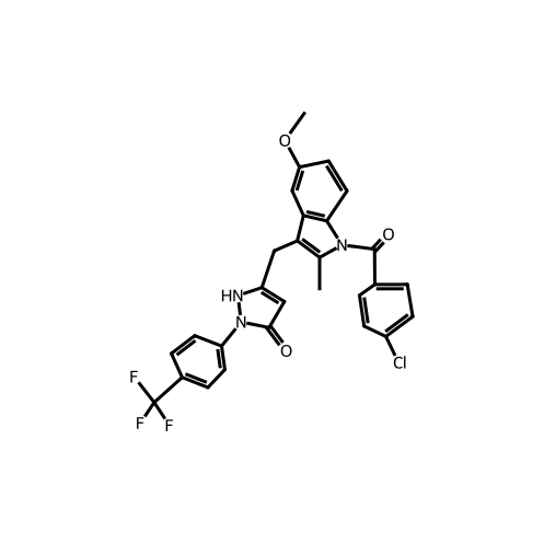 COc1ccc2c(c1)c(Cc1cc(=O)n(-c3ccc(C(F)(F)F)cc3)[nH]1)c(C)n2C(=O)c1ccc(Cl)cc1